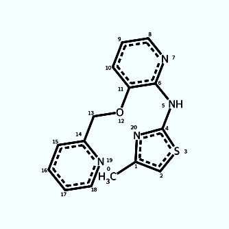 Cc1csc(Nc2ncccc2OCc2ccccn2)n1